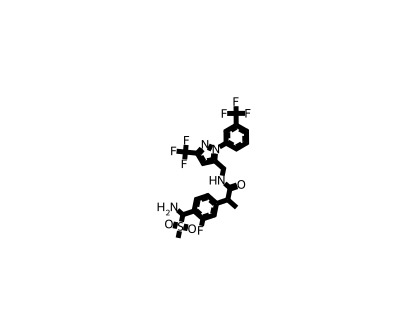 CC(C(=O)NCc1cc(C(F)(F)F)nn1-c1cccc(C(F)(F)F)c1)c1ccc(C(N)S(C)(=O)=O)c(F)c1